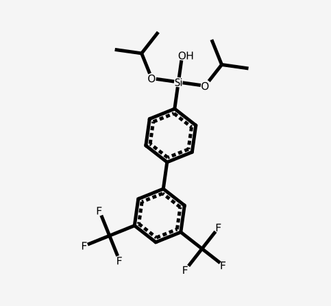 CC(C)O[Si](O)(OC(C)C)c1ccc(-c2cc(C(F)(F)F)cc(C(F)(F)F)c2)cc1